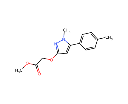 COC(=O)COc1cc(-c2ccc(C)cc2)n(C)n1